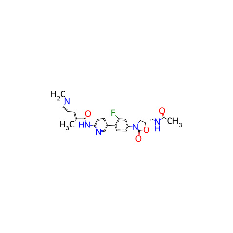 C=N/C=C\C=C(/C)C(=O)Nc1ccc(-c2ccc(N3C[C@H](CNC(C)=O)OC3=O)cc2F)cn1